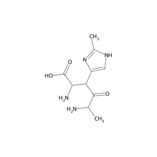 Cc1nc(C(C(=O)C(C)N)C(N)C(=O)O)c[nH]1